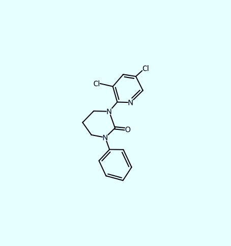 O=C1N(c2ccccc2)CCCN1c1ncc(Cl)cc1Cl